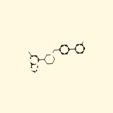 Cc1cc(C2CCCN(Cc3ccc(-c4cccc(Cl)c4)cc3)C2)n2ncnc2n1